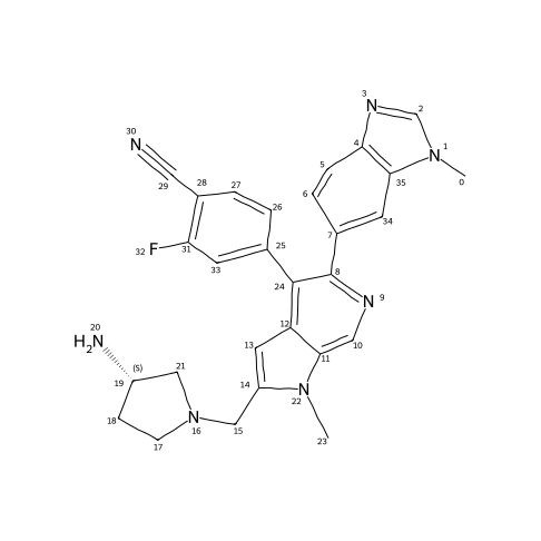 Cn1cnc2ccc(-c3ncc4c(cc(CN5CC[C@H](N)C5)n4C)c3-c3ccc(C#N)c(F)c3)cc21